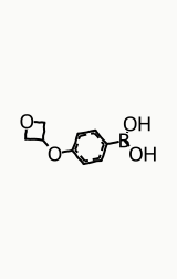 OB(O)c1ccc(OC2COC2)cc1